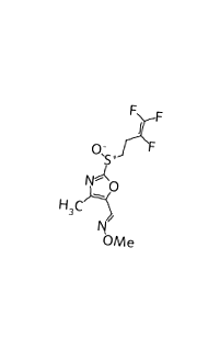 CON=Cc1oc([S+]([O-])CCC(F)=C(F)F)nc1C